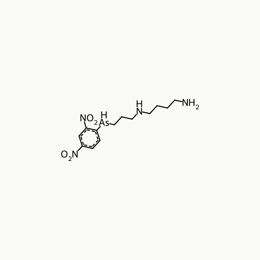 NCCCCNCCC[AsH]c1ccc([N+](=O)[O-])cc1[N+](=O)[O-]